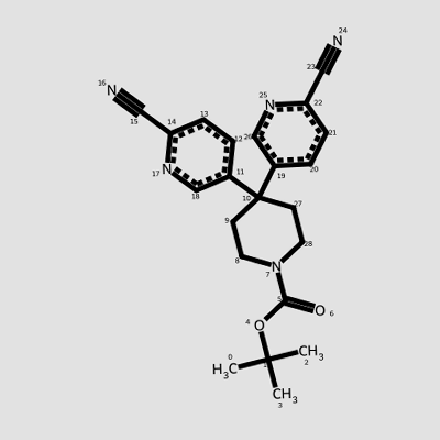 CC(C)(C)OC(=O)N1CCC(c2ccc(C#N)nc2)(c2ccc(C#N)nc2)CC1